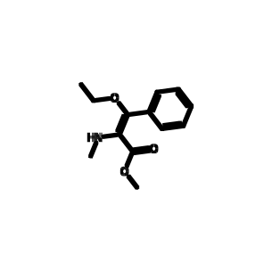 CCO/C(=C(\NC)C(=O)OC)c1ccccc1